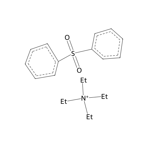 CC[N+](CC)(CC)CC.O=S(=O)(c1ccccc1)c1ccccc1